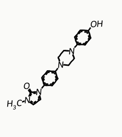 Cn1ccn(-c2ccc(N3CCN(c4ccc(O)cc4)CC3)cc2)c1=O